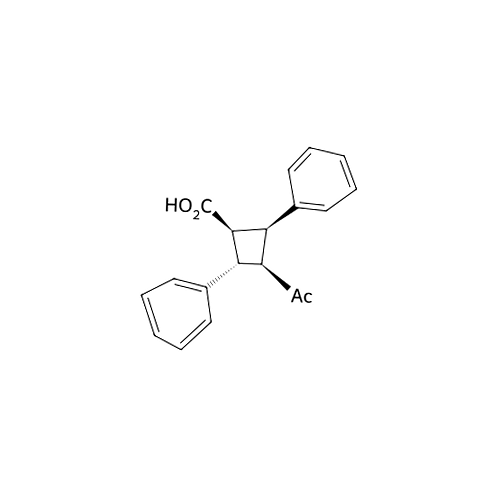 CC(=O)[C@H]1[C@H](c2ccccc2)[C@@H](C(=O)O)[C@H]1c1ccccc1